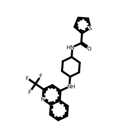 O=C(NC1CCC(Nc2cc(C(F)(F)F)nc3ccccc23)CC1)c1cccs1